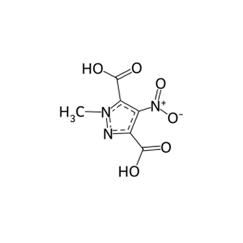 Cn1nc(C(=O)O)c([N+](=O)[O-])c1C(=O)O